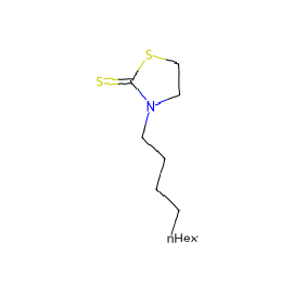 CCCCCCCCCCN1CCSC1=S